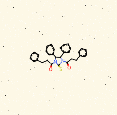 O=C(CCc1ccccc1)N1C(=S)N(C(=O)CCc2ccccc2)C(c2ccccc2)C1c1ccccc1